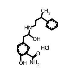 CC(CCNC(O)Cc1ccc(O)c(C(N)=O)c1)c1ccccc1.Cl